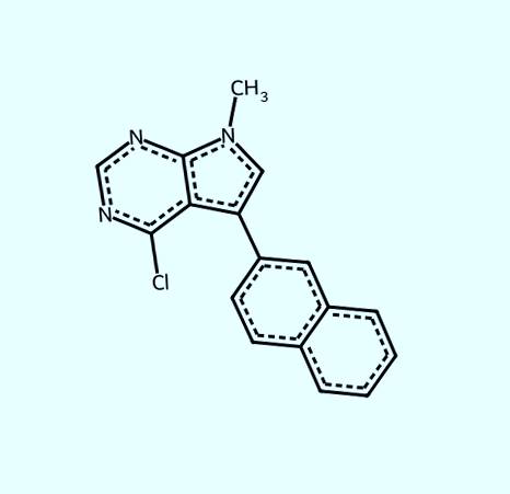 Cn1cc(-c2ccc3ccccc3c2)c2c(Cl)ncnc21